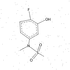 CN(c1ccc(F)c(O)c1)S(C)(=O)=O